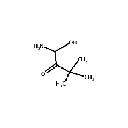 CC(C)(C)C(=O)C(N)O